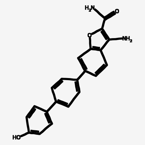 NC(=O)c1oc2cc(-c3ccc(-c4ccc(O)cc4)cc3)ccc2c1N